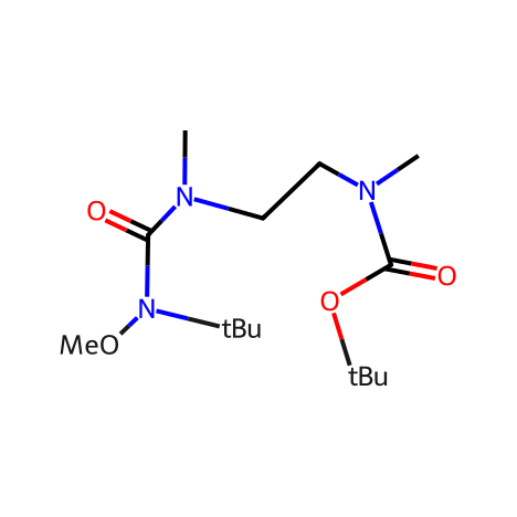 CON(C(=O)N(C)CCN(C)C(=O)OC(C)(C)C)C(C)(C)C